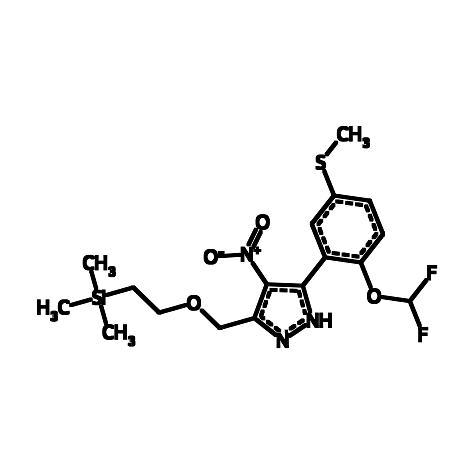 CSc1ccc(OC(F)F)c(-c2[nH]nc(COCC[Si](C)(C)C)c2[N+](=O)[O-])c1